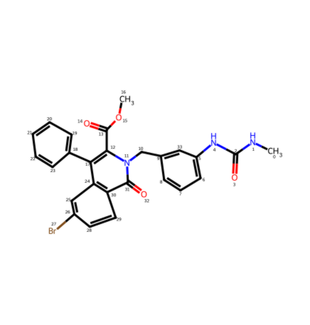 CNC(=O)Nc1cccc(Cn2c(C(=O)OC)c(-c3ccccc3)c3cc(Br)ccc3c2=O)c1